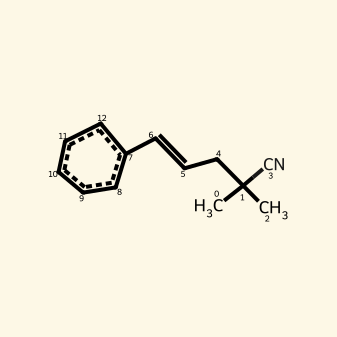 CC(C)(C#N)CC=Cc1ccccc1